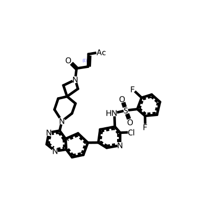 CC(=O)/C=C/C(=O)N1CC2(CCN(c3ncnc4ccc(-c5cnc(Cl)c(NS(=O)(=O)c6c(F)cccc6F)c5)cc34)CC2)C1